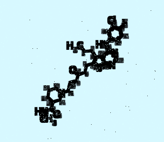 CCCc1c(CCC(=O)/C=C/CN2CCCC(C(=O)NC)C2)sc2ncnc(Nc3ccc(F)c(Cl)c3)c12